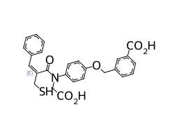 O=C(O)CN(C(=O)/C(=C\c1ccccc1)CS)c1ccc(OCc2cccc(C(=O)O)c2)cc1